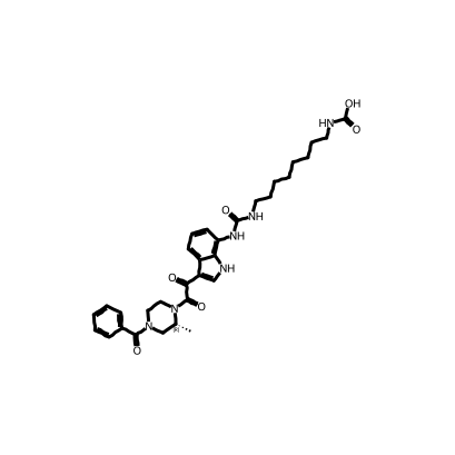 C[C@@H]1CN(C(=O)c2ccccc2)CCN1C(=O)C(=O)c1c[nH]c2c(NC(=O)NCCCCCCCCNC(=O)O)cccc12